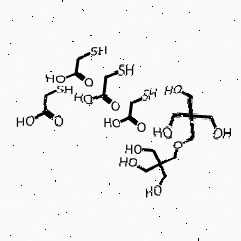 O=C(O)CS.O=C(O)CS.O=C(O)CS.O=C(O)CS.OCC(CO)(CO)COCC(CO)(CO)CO